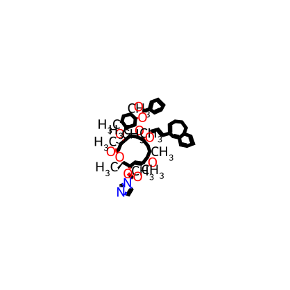 CC[C@H]1OC(=O)[C@H](C)C(=O)[C@H](C)[C@@H](O[C@@H]2[C@H](C)[C@H](C)C[C@H](C)[C@H]2OC(=O)c2ccccc2)[C@](C)(OC/C=C/C2=CCCCC3C=CC=C/C3=C/2)C[C@@H](C)C(=O)/C(C)=C/[C@]1(C)OC(=O)n1ccnc1